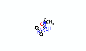 CCN(CC)C(=O)c1cc(Nc2nc(-c3ccccc3)nc3ccccc23)[nH]n1